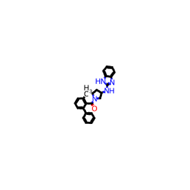 Cc1cccc(-c2ccccc2)c1C(=O)N1CCC(Nc2nc3ccccc3[nH]2)C1